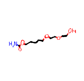 NC(=O)OCCCCCOCCOCCO